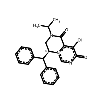 CC(C)N1C[C@H](C(c2ccccc2)c2ccccc2)n2cnc(=O)c(O)c2C1=O